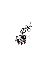 CCC(C)C(=O)OC12CC3CC(C1)C(C(=O)OC(C(F)(F)F)C(C(F)(F)F)(C(F)(F)F)S(=O)(=O)O)(C3)C2